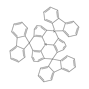 c1ccc2c(c1)-c1ccccc1C21c2cccc3c2N2c4c1cccc4[Si]1(c4ccccc4-c4ccccc41)c1cccc(c12)C31c2ccccc2-c2ccccc21